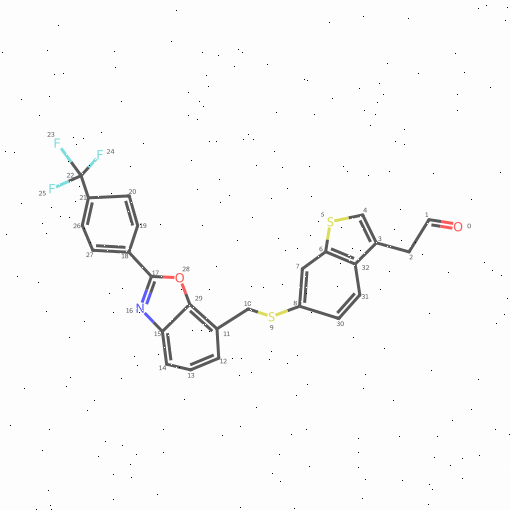 O=CCc1csc2cc(SCc3cccc4nc(-c5ccc(C(F)(F)F)cc5)oc34)ccc12